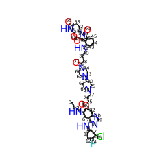 C=CC(=O)Nc1cc2c(Nc3ccc(F)c(Cl)c3)ncnc2cc1OCCCN1CCC(N2CCN(C(=O)CCCNc3cccc4c3C(=O)N(C3CCC(=O)NC3=O)C4=O)CC2)CC1